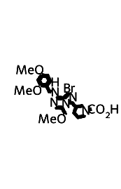 COCc1cnc(NCc2ccc(OC)cc2OC)c2c(Br)nc(C3CCCN(C(=O)O)C3)n12